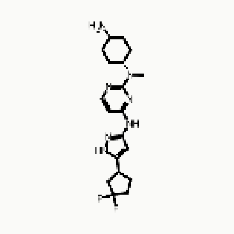 CN(c1nccc(Nc2cc(C3CCC(F)(F)C3)[nH]n2)n1)[C@H]1CC[C@H](N)CC1